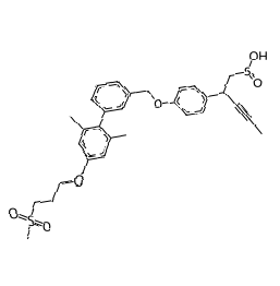 CC#CC(CS(=O)O)c1ccc(OCc2cccc(-c3c(C)cc(OCCCS(C)(=O)=O)cc3C)c2)cc1